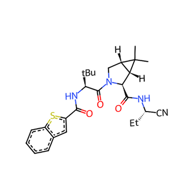 CC[C@@H](C#N)NC(=O)[C@@H]1[C@@H]2[C@H](CN1C(=O)[C@@H](NC(=O)c1cc3ccccc3s1)C(C)(C)C)C2(C)C